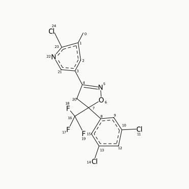 Cc1cc(C2=NOC(c3cc(Cl)cc(Cl)c3)(C(F)(F)F)C2)cnc1Cl